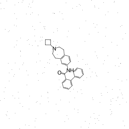 O=C(Nc1ccc2c(c1)CCN(C1CCC1)CC2)c1ccccc1-c1ccccc1